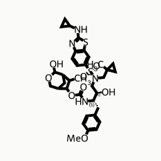 COc1ccc(C[C@H](NC(=O)OC2C3COC(O)C(C3)C2C)[C@H](O)CN(CC2(C)CC2)S(=O)(=O)c2ccc3nc(NC4CC4)sc3c2)cc1